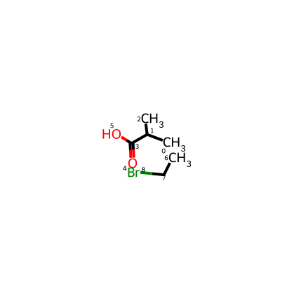 CC(C)C(=O)O.CCBr